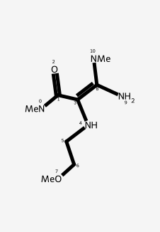 CNC(=O)/C(NCCOC)=C(/N)NC